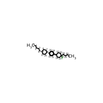 CCCCC[C@H]1CC[C@H](c2ccc(C3CCC(F)(CCCC)CC3)cc2)CC1